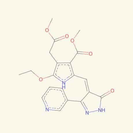 CCOc1[nH]c(/C=C2/C(=O)NN=C2c2cccnc2)c(C(=O)OC)c1CC(=O)OC